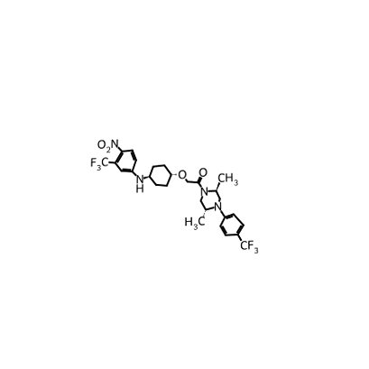 C[C@@H]1CN(C(=O)CO[C@H]2CC[C@H](Nc3ccc([N+](=O)[O-])c(C(F)(F)F)c3)CC2)[C@@H](C)CN1c1ccc(C(F)(F)F)cc1